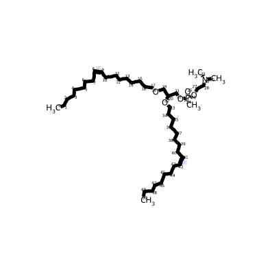 CCCCCCCC/C=C\CCCCCCCCOCC(COP(C)(=O)OCCN(C)C)OCCCCCCCC/C=C\CCCCCCCC